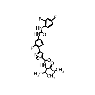 COC(=O)C(NC(=O)c1cc(-c2ccc(NC(=O)Nc3ccc(F)cc3F)cc2F)no1)C(C)C